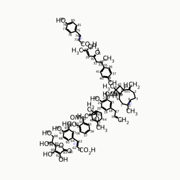 C=C1CC/C=C(\C)CC[C@@H]2[C@@H]1CC2(C)C.C=CCc1ccc(O)c(OC)c1.CC(C)=CC(=O)C[C@H](C)c1ccc(C)cc1.CC12CCC(CC1)C(C)(C)O2.COc1ccccc1O.O=C(O)/C=C/c1ccc(O)c(O)c1.O=C(O)/C=C/c1ccc(O)cc1.O=C1O[C@H]([C@@H](O)CO)C(O)=C1O